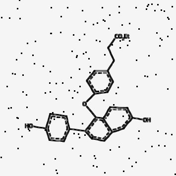 CCOC(=O)CCc1ccc(Oc2c(-c3ccc(O)cc3)ccc3cc(O)ccc23)cc1